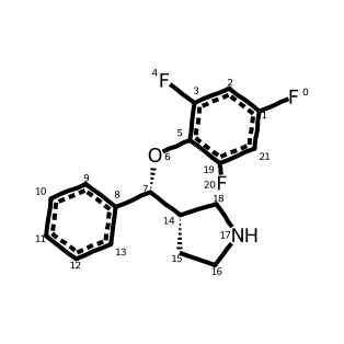 Fc1cc(F)c(O[C@@H](c2ccccc2)[C@H]2CCNC2)c(F)c1